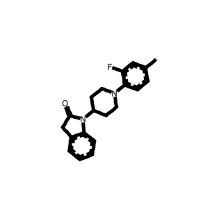 Cc1ccc(N2CCC(N3C(=O)Cc4ccccc43)CC2)c(F)c1